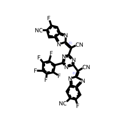 N#C/C(=C1\N=c2cc(F)c(C#N)cc2=N1)c1nc(/C(C#N)=C2/N=c3cc(F)c(C#N)cc3=N2)nc(-c2c(F)c(F)c(F)c(F)c2F)n1